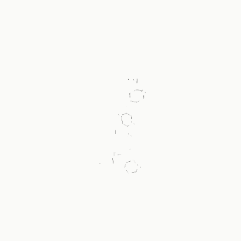 COC(=O)c1nc(Sc2ccnc3c2OCC2(COC2)N3)cnc1N1CCC2(CC1)Cc1ncccc1[C@H]2NC(=O)OC(C)(C)C